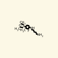 Cc1c(N2C[C@@H](C)O[C@@H](C)C2)ccc(NCCCCCN)c1F